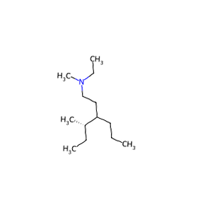 CCCC(CCN(C)CC)[C@@H](C)CC